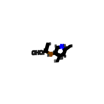 C=C(C=O)Sc1cnc(C)cc1C